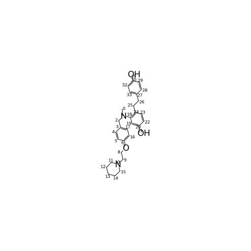 CN(Cc1ccc(OCCN2CCCCC2)cc1)c1cc(O)ccc1CCc1ccc(O)cc1